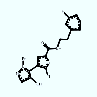 CCn1ncc(C)c1-c1cc(C(=O)NCCc2cccc(F)c2)sc1Cl